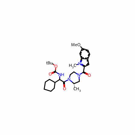 COc1ccc2cc(C(=O)N3CCN(C(=O)C(NC(=O)OC(C)(C)C)C4CCCCC4)[C@@H](C)C3)n(C)c2c1